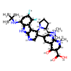 BC(B)(B)Nc1cc(F)c(F)c2c1[nH]c1ncc(-c3cnc4c(c3)c(=O)c(C(=O)O)cn4C)c(N3CCC[C@H]3CN(C)C)c12